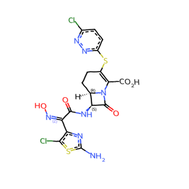 Nc1nc(/C(=N/O)C(=O)N[C@@H]2C(=O)N3C(C(=O)O)=C(Sc4ccc(Cl)nn4)CC[C@H]23)c(Cl)s1